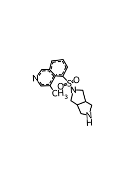 Cc1cncc2cccc(S(=O)(=O)N3CC4CNCC4C3)c12